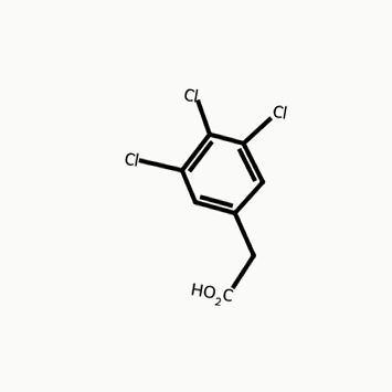 O=C(O)Cc1cc(Cl)c(Cl)c(Cl)c1